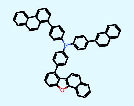 c1ccc2cc(-c3ccc(N(c4ccc(-c5cccc6c5ccc5ccccc56)cc4)c4ccc(-c5cccc6oc7c8ccccc8ccc7c56)cc4)cc3)ccc2c1